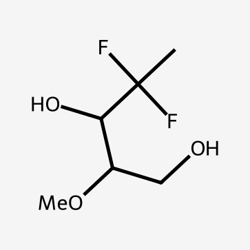 COC(CO)C(O)C(C)(F)F